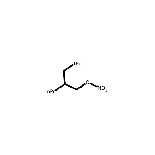 CCCC(CO[N+](=O)[O-])CC(C)(C)C